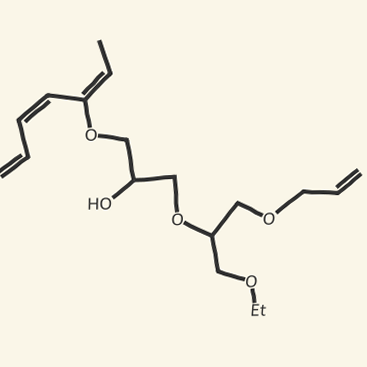 C=C/C=C\C(=C/C)OCC(O)COC(COCC)COCC=C